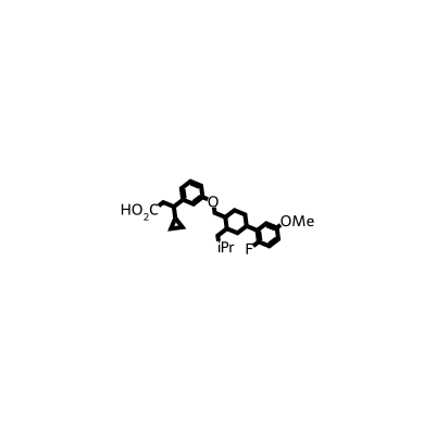 COc1ccc(F)c(C2CCC(COc3cccc(C(CC(=O)O)C4CC4)c3)C(CC(C)C)C2)c1